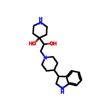 OC(CN1CCC(C2CNc3ccccc32)CC1)C1(O)CCNCC1